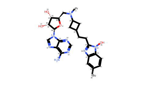 CC(C)N(C[C@H]1O[C@@H](n2cnc3c(N)ncnc32)[C@H](O)[C@@H]1O)C1CC(CCc2nc3cc(C(C)(C)C)ccc3n2O)C1